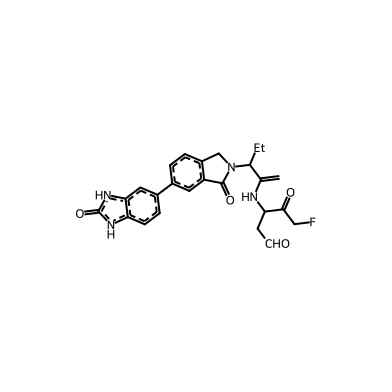 C=C(NC(CC=O)C(=O)CF)C(CC)N1Cc2ccc(-c3ccc4[nH]c(=O)[nH]c4c3)cc2C1=O